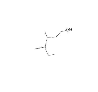 CCC(C)C(C)CCO